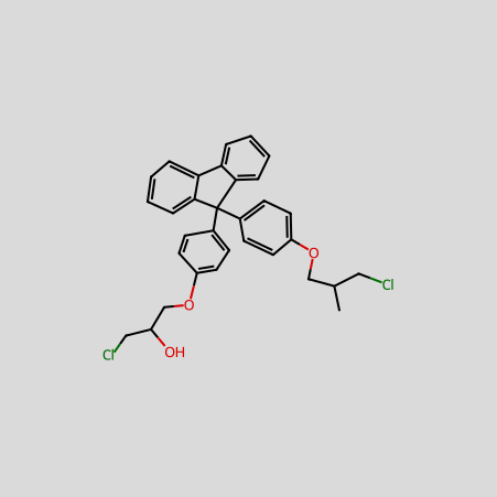 CC(CCl)COc1ccc(C2(c3ccc(OCC(O)CCl)cc3)c3ccccc3-c3ccccc32)cc1